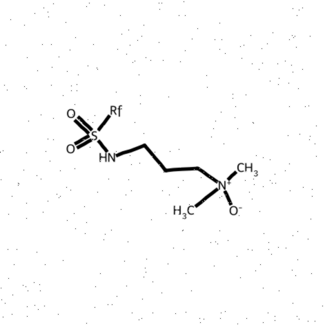 C[N+](C)([O-])CCCN[S](=O)(=O)[Rf]